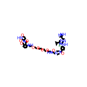 O=C(CN1CCN(C(=O)c2ccc(Nc3nc(C4CC4)cn4c(-c5cn[nH]c5)cnc34)c(F)c2)CC1)NCCOCCOCCOCCOCCNc1cccc2c1C(=O)N(C1CCC(=O)NC1=O)C2=O